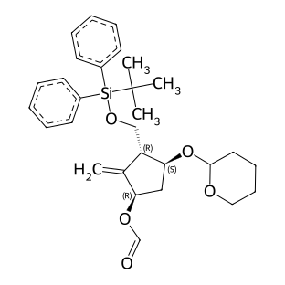 C=C1[C@H](OC=O)C[C@H](OC2CCCCO2)[C@H]1CO[Si](c1ccccc1)(c1ccccc1)C(C)(C)C